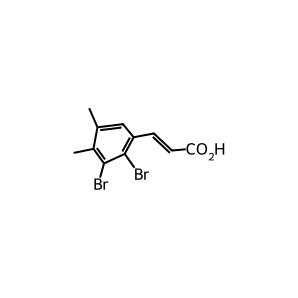 Cc1cc(/C=C/C(=O)O)c(Br)c(Br)c1C